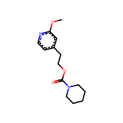 COc1cc(CCOC(=O)N2CCCCC2)ccn1